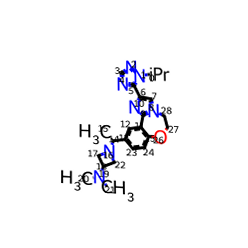 CC(C)n1ncnc1-c1cn2c(n1)-c1cc([C@@H](C)N3CC(N(C)C)C3)ccc1OCC2